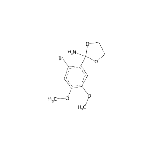 COc1cc(Br)c(C2(N)OCCO2)cc1OC